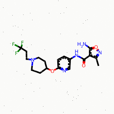 Cc1noc(N)c1C(=O)Nc1ccc(OC2CCN(CCC(F)(F)F)CC2)nc1